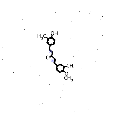 COc1ccc(/C=C/C(=O)/C=C/c2ccc(O)c(C)c2)cc1C